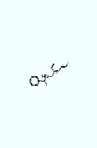 C=C/C(=C\C=C\C)CNC(C)c1ccccc1